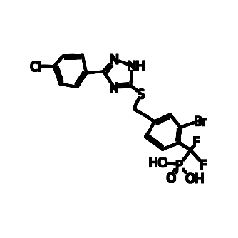 O=P(O)(O)C(F)(F)c1ccc(CSc2nc(-c3ccc(Cl)cc3)n[nH]2)cc1Br